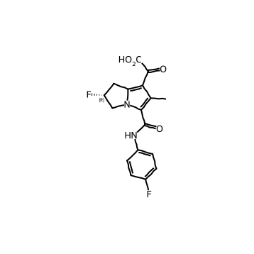 Cc1c(C(=O)C(=O)O)c2n(c1C(=O)Nc1ccc(F)cc1)C[C@H](F)C2